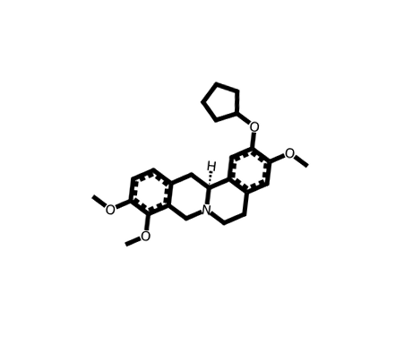 COc1cc2c(cc1OC1CCCC1)[C@@H]1Cc3ccc(OC)c(OC)c3CN1CC2